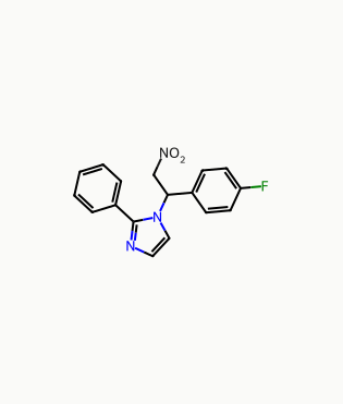 O=[N+]([O-])CC(c1ccc(F)cc1)n1ccnc1-c1ccccc1